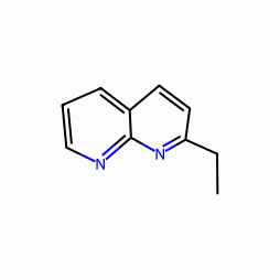 CCc1ccc2cccnc2n1